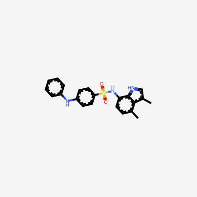 Cc1ccc(NS(=O)(=O)c2ccc(Nc3ccccc3)cc2)c2[nH]cc(C)c12